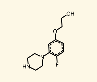 OCCOc1ccc(F)c(N2CCNCC2)c1